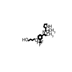 C/C=C(\N=C(/OC)C1CCCN1)c1ccc(OCCCCO)c(C(F)(F)F)c1